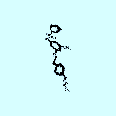 CCO/N=C/c1ccc(CCOc2cc(C)cc(NS(=O)(=O)c3ccccc3)c2)cc1